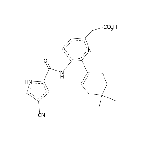 CC1(C)CC=C(c2nc(CC(=O)O)ccc2NC(=O)c2cc(C#N)c[nH]2)CC1